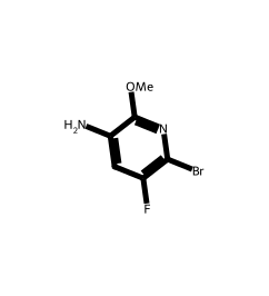 COc1nc(Br)c(F)cc1N